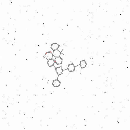 CC1(C)c2ccccc2C2(c3ccccc3Oc3ccc(-c4nc(-c5ccccc5)nc(-c5ccc(-c6ccccc6)cc5)n4)cc32)c2ccccc21